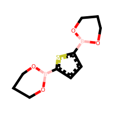 c1cc(B2OCCCO2)sc1B1OCCCO1